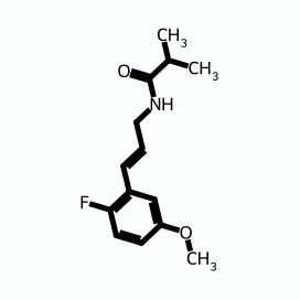 COc1ccc(F)c(/C=C/CNC(=O)C(C)C)c1